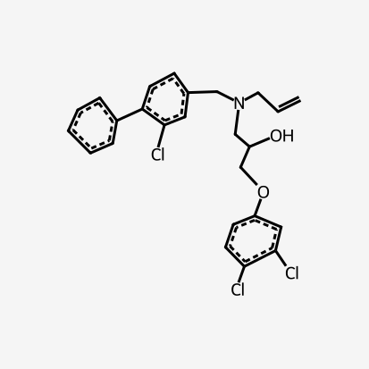 C=CCN(Cc1ccc(-c2ccccc2)c(Cl)c1)CC(O)COc1ccc(Cl)c(Cl)c1